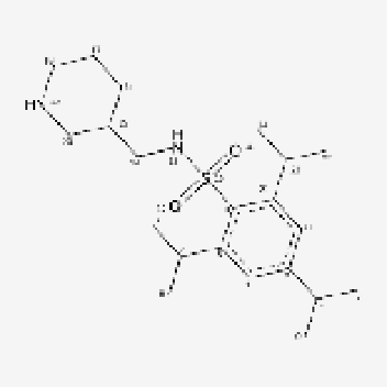 CC(C)c1cc(C(C)C)c(S(=O)(=O)NCC2CCCNC2)c(C(C)C)c1